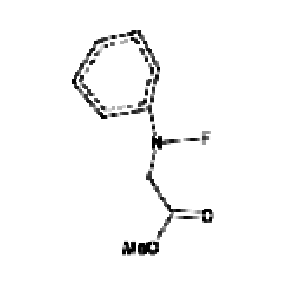 COC(=O)CN(F)c1ccccc1